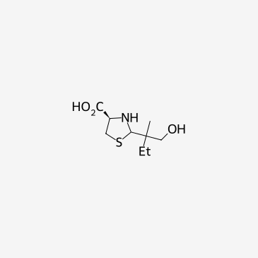 CCC(C)(CO)C1N[C@H](C(=O)O)CS1